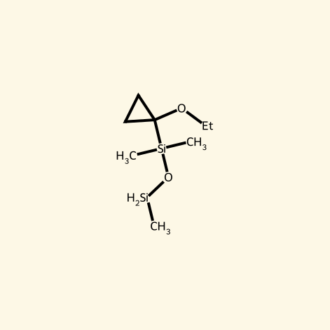 CCOC1([Si](C)(C)O[SiH2]C)CC1